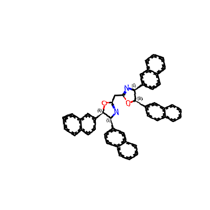 c1ccc2cc([C@H]3OC(CC4=N[C@@H](c5ccc6ccccc6c5)[C@@H](c5ccc6ccccc6c5)O4)=N[C@H]3c3ccc4ccccc4c3)ccc2c1